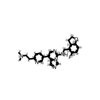 CN(C)CCc1ccc(-c2cnc(NCc3c(F)ccc4c3CCO4)n3cncc23)cn1